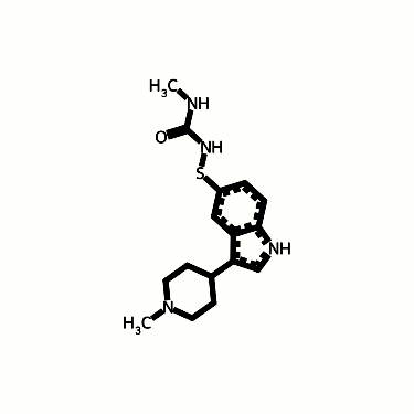 CNC(=O)NSc1ccc2[nH]cc(C3CCN(C)CC3)c2c1